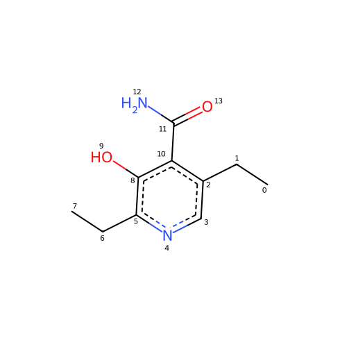 CCc1cnc(CC)c(O)c1C(N)=O